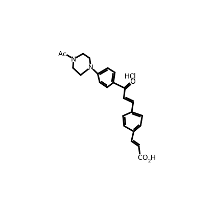 CC(=O)N1CCN(c2ccc(C(=O)/C=C/c3ccc(/C=C/C(=O)O)cc3)cc2)CC1.Cl